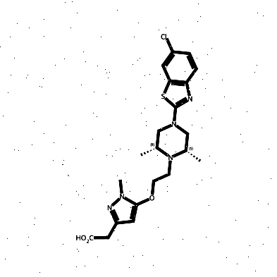 C[C@@H]1CN(c2nc3ccc(Cl)cc3s2)C[C@H](C)N1CCOc1cc(CC(=O)O)nn1C